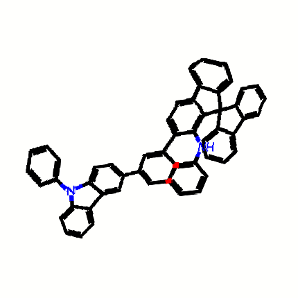 CC1CC=C(c2ccc3c(c2)c2ccccc2n3-c2ccccc2)C=C1c1ccc2c(c1Nc1ccccc1)C1(c3ccccc3-c3ccccc31)c1ccccc1-2